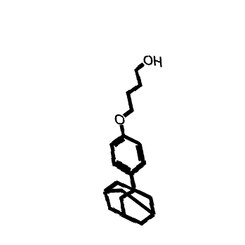 OCCCCOc1ccc(C23CC4CC(CC(C4)C2)C3)cc1